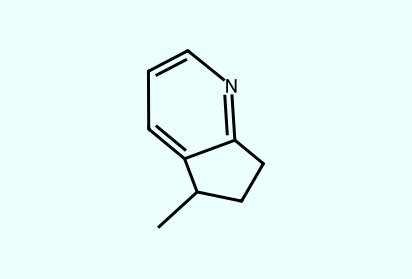 CC1CCc2ncccc21